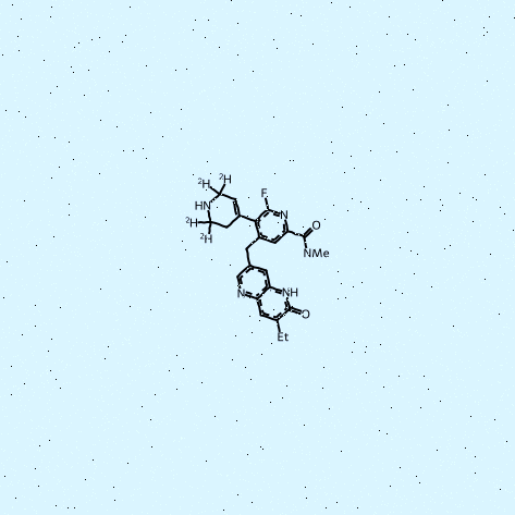 [2H]C1([2H])C=C(c2c(Cc3cnc4cc(CC)c(=O)[nH]c4c3)cc(C(=O)NC)nc2F)CC([2H])([2H])N1